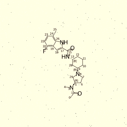 CC(=O)N(C)[C@@H]1CCN([C@@H]2CCC[C@@H](NC(=O)c3cc4c(F)ccc(C)c4[nH]3)C2)C1